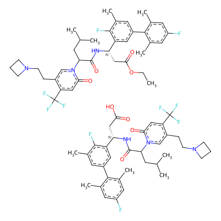 CCOC(=O)C[C@H](NC(=O)C(CC(C)C)n1cc(CCN2CCC2)c(C(F)(F)F)cc1=O)c1cc(-c2c(C)cc(F)cc2C)cc(C)c1F.Cc1cc(-c2c(C)cc(F)cc2C)cc([C@H](CC(=O)O)NC(=O)C(CC(C)C)n2cc(CCN3CCC3)c(C(F)(F)F)cc2=O)c1F